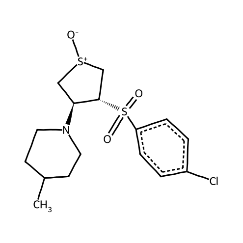 CC1CCN([C@H]2C[S+]([O-])C[C@@H]2S(=O)(=O)c2ccc(Cl)cc2)CC1